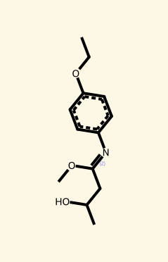 CCOc1ccc(/N=C(/CC(C)O)OC)cc1